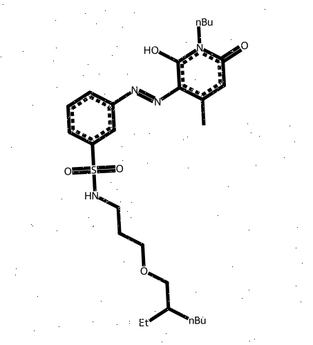 CCCCC(CC)COCCCNS(=O)(=O)c1cccc(N=Nc2c(C)cc(=O)n(CCCC)c2O)c1